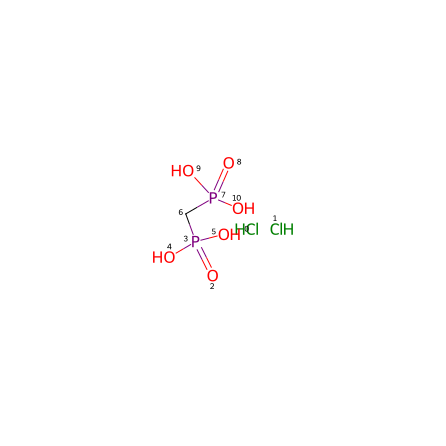 Cl.Cl.O=P(O)(O)CP(=O)(O)O